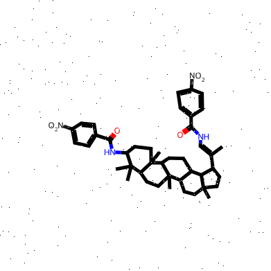 CC(=CNC(=O)c1ccc([N+](=O)[O-])cc1)C1CCC2(C)CCC3C(CCC4C3(C)CCC3C(C)(C)C(NC(=O)c5ccc([N+](=O)[O-])cc5)CCC34C)C12